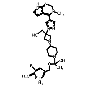 C=C(F)/C(F)=C\C(=C/C)COC(C)(O)N1CCC(N2CC(CC#N)(n3cc(C4=c5cc[nH]c5=NCN4C)cn3)C2)CC1